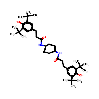 CC(C)(C)c1cc(CCC(=O)NC2CCC(NC(=O)CCc3cc(C(C)(C)C)c(O)c(C(C)(C)C)c3)CC2)cc(C(C)(C)C)c1O